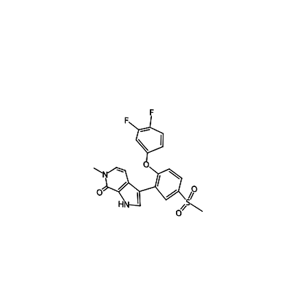 Cn1ccc2c(-c3cc(S(C)(=O)=O)ccc3Oc3ccc(F)c(F)c3)c[nH]c2c1=O